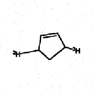 [2H]C1C=CC([2H])C1